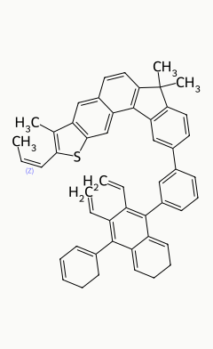 C=Cc1c(C=C)c(-c2cccc(-c3ccc4c(c3)-c3c(ccc5cc6c(C)c(/C=C\C)sc6cc35)C4(C)C)c2)c2c(c1C1=CC=CCC1)=CCCC=2